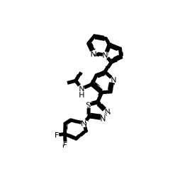 CC(C)Nc1cc(-c2ccc3cccnn23)ncc1-c1nnc(N2CCC(F)(F)CC2)s1